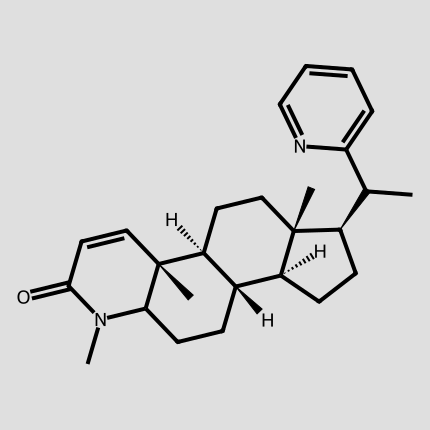 CC(c1ccccn1)[C@H]1CC[C@H]2[C@@H]3CCC4N(C)C(=O)C=C[C@]4(C)[C@H]3CC[C@]12C